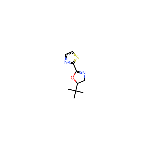 CC(C)(C)C1CN=C(c2nccs2)O1